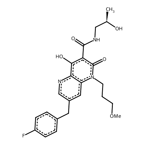 COCCCn1c(=O)c(C(=O)NC[C@@H](C)O)c(O)c2ncc(Cc3ccc(F)cc3)cc21